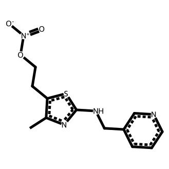 Cc1nc(NCc2cccnc2)sc1CCO[N+](=O)[O-]